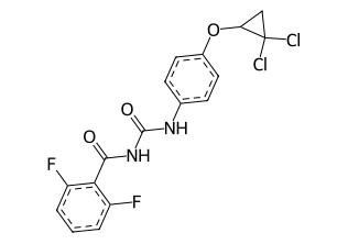 O=C(NC(=O)c1c(F)cccc1F)Nc1ccc(OC2CC2(Cl)Cl)cc1